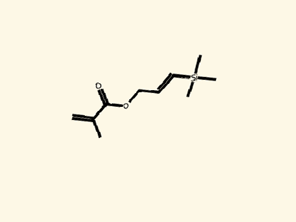 C=C(C)C(=O)OCC=C[Si](C)(C)C